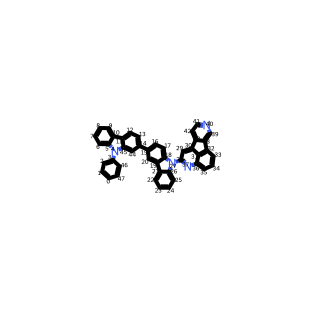 c1ccc(-n2c3ccccc3c3ccc(-c4ccc5c(c4)c4ccccc4n5-c4cc5c6c(cccc6n4)-c4cnccc4-5)cc32)cc1